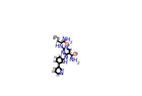 CC(C)CC(Nc1ncc(C(N)=O)c(Nc2cccc(-c3cccnc3)c2)n1)C(N)=O